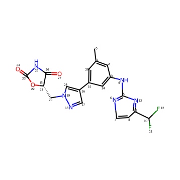 Cc1cc(Nc2nccc(C(F)F)n2)cc(-c2cnn(C[C@@H]3OC(=O)NC3=O)c2)c1